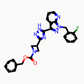 O=C(OCc1ccccc1)N1CC(c2n[nH]c(-c3nn(Cc4ccccc4F)c4ncccc34)n2)C1